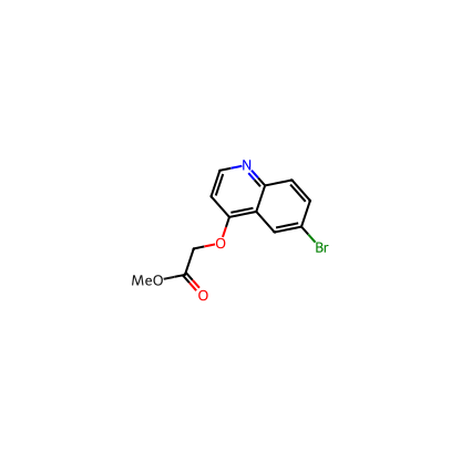 COC(=O)COc1ccnc2ccc(Br)cc12